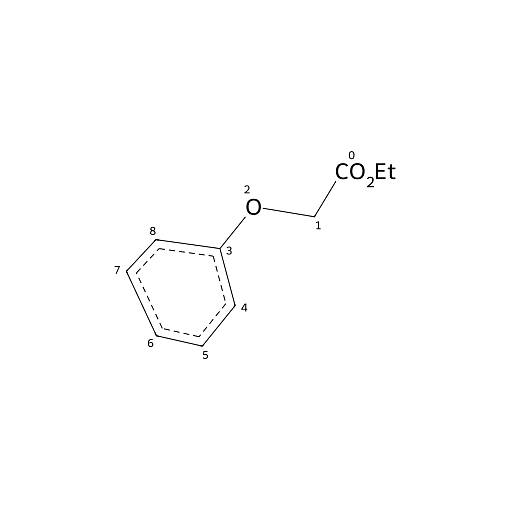 C[CH]OC(=O)COc1ccccc1